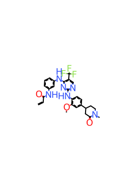 C=CC(=O)Nc1cccc(Nc2nc(Nc3ccc(C4CCN(C)C(=O)C4)cc3OC)ncc2C(F)(F)F)c1